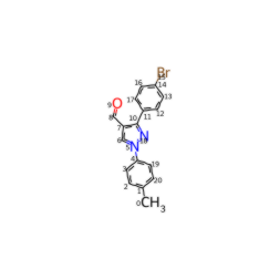 Cc1ccc(-n2cc(C=O)c(-c3ccc(Br)cc3)n2)cc1